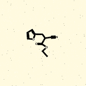 CCOC(=O)C(C#N)Cc1ccco1